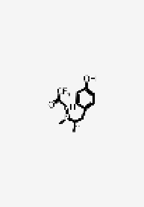 C[C@H](Cc1ccc(O)cc1)N(C)NC(=O)C(F)(F)F